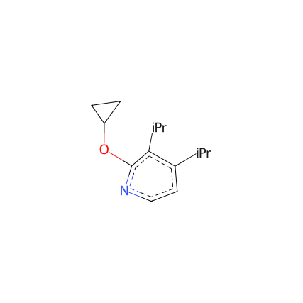 CC(C)c1ccnc(OC2CC2)c1C(C)C